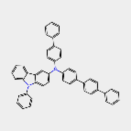 c1ccc(-c2ccc(-c3ccc(N(c4ccc(-c5ccccc5)cc4)c4ccc5c(c4)c4ccccc4n5-c4ccccc4)cc3)cc2)cc1